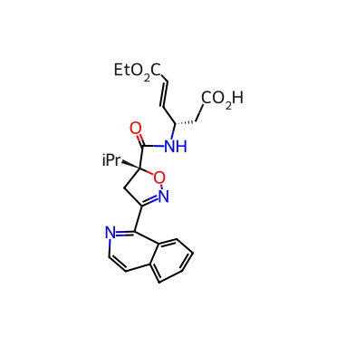 CCOC(=O)/C=C/[C@H](CC(=O)O)NC(=O)[C@@]1(C(C)C)CC(c2nccc3ccccc23)=NO1